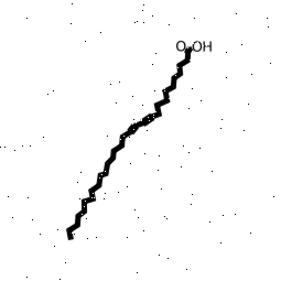 CCCCCCCCCCCCCCCCC#CC#CCCCCCCCCCC(=O)O